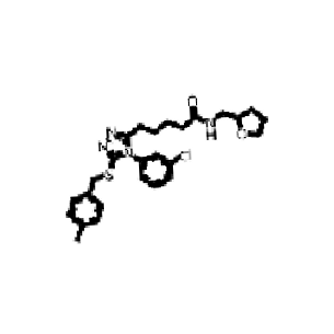 Cc1ccc(CSc2nnc(CCCCC(=O)NCC3CCCO3)n2-c2cccc(Cl)c2)cc1